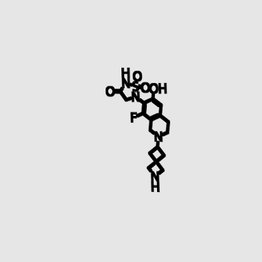 O=C1CN(c2c(O)cc3c(c2F)CN(C2CC4(CNC4)C2)CC3)S(=O)(=O)N1